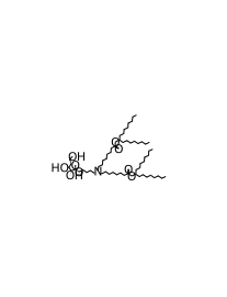 CCCCCCCCC(CCCCCCCC)OC(=O)CCCCCCCN(CCCCCCCC(=O)OC(CCCCCCCC)CCCCCCCC)CCCCO[C@@H]1O[C@H](CO)[C@@H](O)[C@H]1O